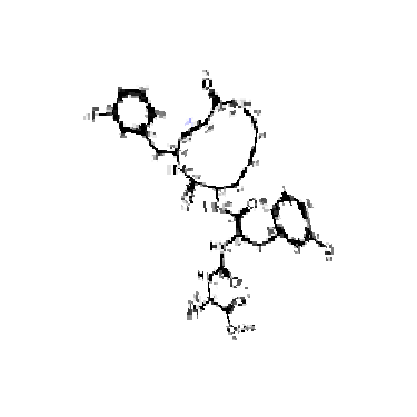 COC(=O)C(NC(=O)NC(Cc1cccc(Cl)c1)C(=O)NC1CCCCNC(=O)/C=C/[C@H](Cc2cccc(F)c2)NC1=O)C(C)C